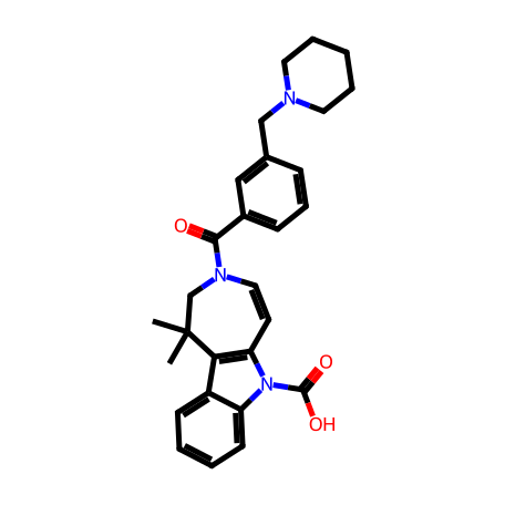 CC1(C)CN(C(=O)c2cccc(CN3CCCCC3)c2)C=Cc2c1c1ccccc1n2C(=O)O